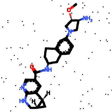 CO[C@H]1CN(c2ccc3c(c2)CC[C@H](NC(=O)c2cnc4c(c2)[C@H]2C[C@H]2CN4)C3)C[C@@H]1N